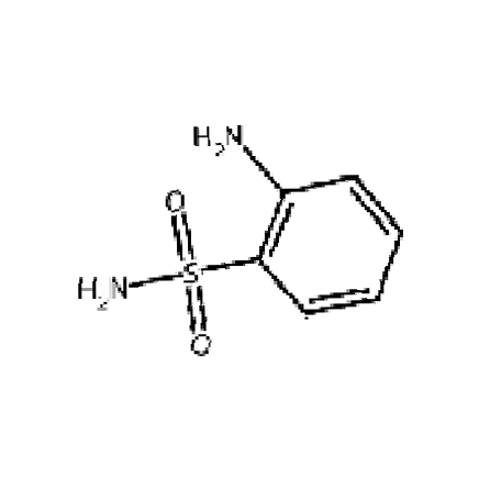 Nc1ccc[c]c1S(N)(=O)=O